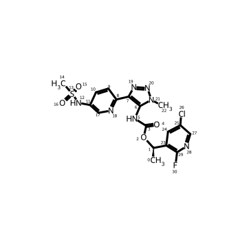 C[C@@H](OC(=O)Nc1c(-c2ccc(NS(C)(=O)=O)cn2)nnn1C)c1cc(Cl)cnc1F